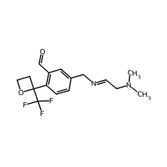 CN(C)C/C=N/Cc1ccc(C2(C(F)(F)F)CCO2)c(C=O)c1